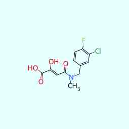 CN(Cc1ccc(F)c(Cl)c1)C(=O)C=C(O)C(=O)O